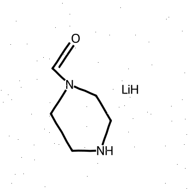 O=CN1CCNCC1.[LiH]